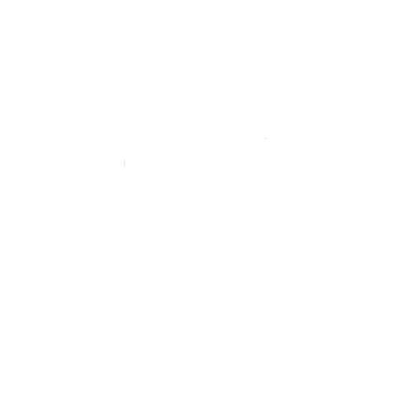 C=CCc1ccc(C(C)[C]=O)c(OC)c1